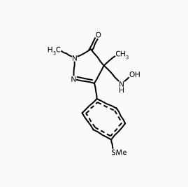 CSc1ccc(C2=NN(C)C(=O)C2(C)NO)cc1